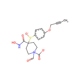 CC#CCOc1ccc([S+]([O-])C2(C(=O)NO)CC[N+](C=O)(C(=O)[O-])CC2)cc1